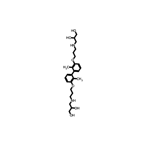 Cc1c(OCCCNCC(O)CO)cccc1-c1cccc(OCCCNCC(O)CO)c1C